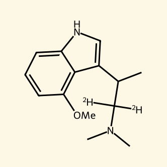 [2H]C([2H])(C(C)c1c[nH]c2cccc(OC)c12)N(C)C